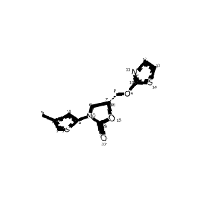 Cc1csc(N2C[C@H](COc3nccs3)OC2=O)c1